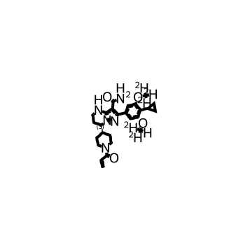 [2H]C([2H])([2H])Oc1cc(-c2nn3c(c2C(N)=O)NCC[C@H]3C2CCN(C(=O)C=C)CC2)cc(OC([2H])([2H])[2H])c1C1CC1